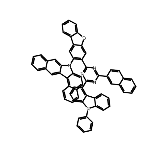 c1ccc(-n2c3ccccc3c3c(-c4nc(-c5ccc6ccccc6c5)nc(-c5cc6oc7ccccc7c6cc5-n5c6cc7ccccc7cc6c6c7ccccc7ccc65)n4)cccc32)cc1